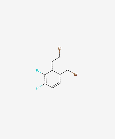 FC1=C(F)C(CCBr)C(CBr)C=C1